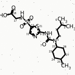 CC(C)CCN(C(=O)Nc1ncc(S(=O)(=O)NCC(=O)O)s1)C1CCC(C)CC1